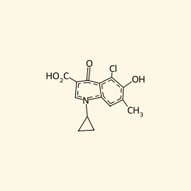 Cc1cc2c(c(Cl)c1O)c(=O)c(C(=O)O)cn2C1CC1